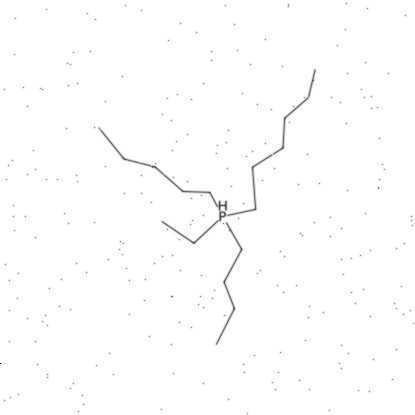 CCCCCC[PH](CC)(CCCC)CCCCC